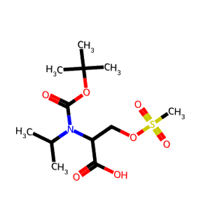 CC(C)N(C(=O)OC(C)(C)C)C(COS(C)(=O)=O)C(=O)O